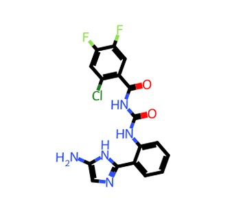 Nc1cnc(-c2ccccc2NC(=O)NC(=O)c2cc(F)c(F)cc2Cl)[nH]1